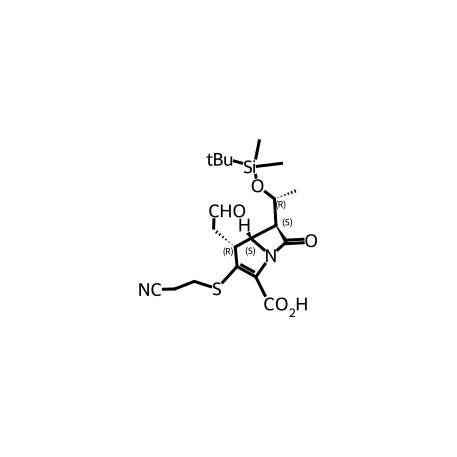 C[C@@H](O[Si](C)(C)C(C)(C)C)[C@H]1C(=O)N2C(C(=O)O)=C(SCCC#N)[C@H](CC=O)[C@H]12